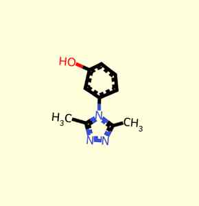 Cc1nnc(C)n1-c1cccc(O)c1